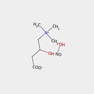 C[N+](C)(C)CC(O)CC(=O)[O-].O=NO